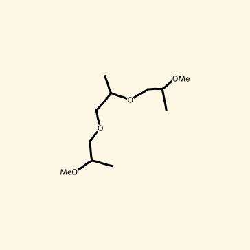 COC(C)COCC(C)OCC(C)OC